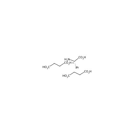 CC(C)[C@H](N)C(=O)O.O=C(O)CCC(=O)O.O=C(O)CCC(=O)O